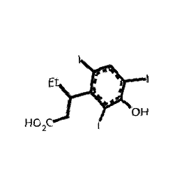 CCC(CC(=O)O)c1c(I)cc(I)c(O)c1I